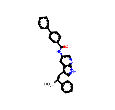 O=C(O)C(=Cc1c[nH]c2ncc(NC(=O)c3ccc(-c4ccccc4)cc3)cc12)c1ccccc1